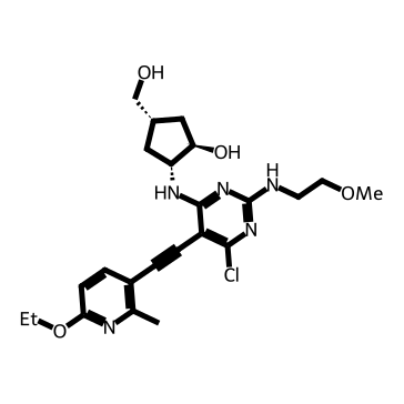 CCOc1ccc(C#Cc2c(Cl)nc(NCCOC)nc2N[C@@H]2C[C@H](CO)C[C@H]2O)c(C)n1